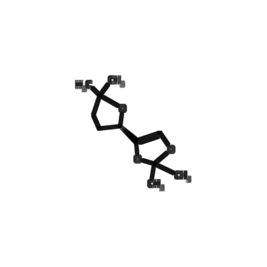 CC1(C)CC[C@H](C2=COC(C)(C)O2)O1